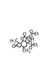 C=C1CC(OC(=O)CC)C2C(OC(=O)C2(O)COC(=O)CC)C2C(C)C(=O)CC12